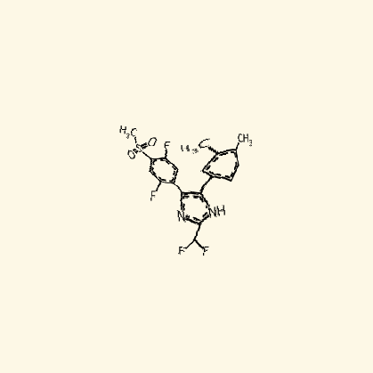 Cc1ccc(-c2[nH]c(C(F)F)nc2-c2cc(F)c(S(C)(=O)=O)cc2F)cc1C